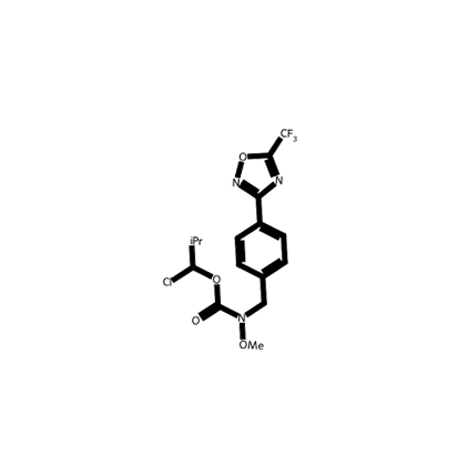 CON(Cc1ccc(-c2noc(C(F)(F)F)n2)cc1)C(=O)OC(Cl)C(C)C